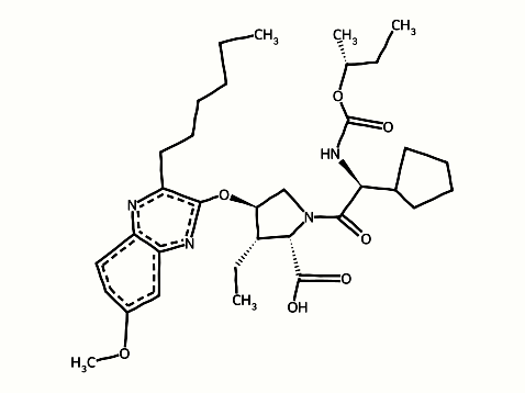 CCCCCCc1nc2ccc(OC)cc2nc1O[C@H]1CN(C(=O)[C@@H](NC(=O)O[C@H](C)CC)C2CCCC2)[C@H](C(=O)O)[C@@H]1CC